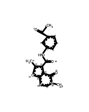 CC(=O)c1cccc(NC(=O)c2c(C)oc3ncn(C)c(=O)c23)c1